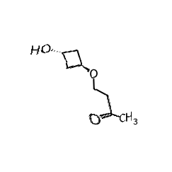 CC(=O)CCO[C@H]1C[C@H](O)C1